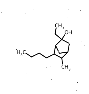 CCCCC1C(C)C2CC1C(O)(CC)C2